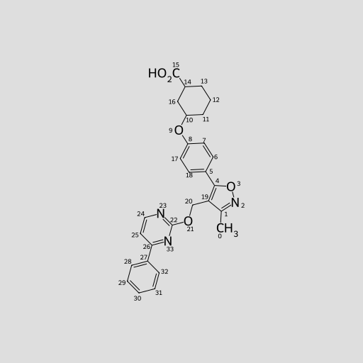 Cc1noc(-c2ccc(OC3CCCC(C(=O)O)C3)cc2)c1COc1nccc(-c2ccccc2)n1